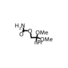 CCCC(COC(N)=O)(OC)OC